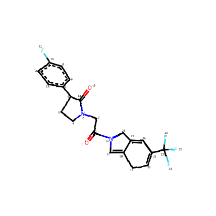 O=C(CN1CCC(c2ccc(F)cc2)C1=O)N1C=C2CC=C(C(F)(F)F)C=C2C1